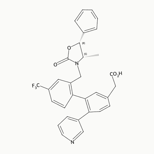 C[C@H]1[C@@H](c2ccccc2)OC(=O)N1Cc1cc(C(F)(F)F)ccc1-c1cc(CC(=O)O)ccc1-c1cccnc1